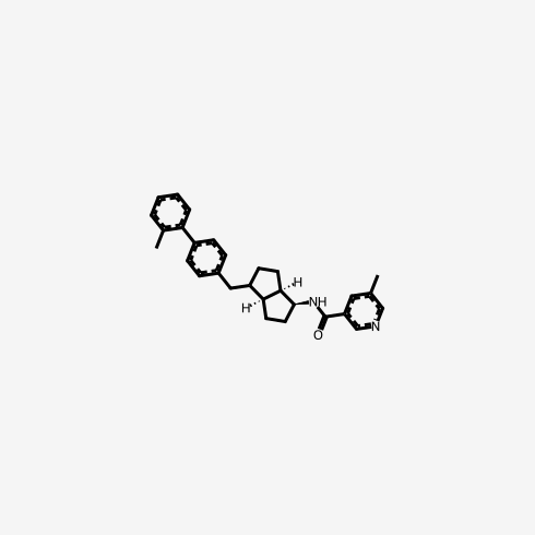 Cc1cncc(C(=O)N[C@H]2CC[C@H]3C(Cc4ccc(-c5ccccc5C)cc4)CC[C@@H]23)c1